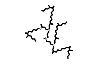 C=C(CCCCCCC(=C)C(C)CCCC)CCN(CCCN(C)CCCN(CCC(=C)CCCCCCC(=C)C(C)CCCC)CCC(=C)OCCCCCC(=C)C(C)CCCC)CCC(=C)CCCCCC(C)CCCC